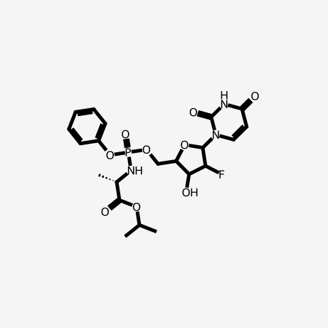 CC(C)OC(=O)[C@H](C)NP(=O)(OCC1OC(n2ccc(=O)[nH]c2=O)C(F)C1O)Oc1ccccc1